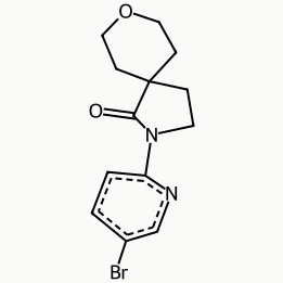 O=C1N(c2ccc(Br)cn2)CCC12CCOCC2